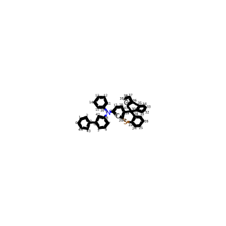 c1ccc(-c2cccc(N(c3ccccc3)c3ccc4c(c3)Sc3ccccc3C43c4ccccc4-c4ccccc43)c2)cc1